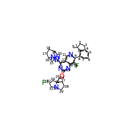 CC1CCc2cccc(-c3ncc4c(N5CC6CCC(C5)N6)nc(OC[C@@]56CCCN5C[C@H](F)C6)nc4c3F)c21